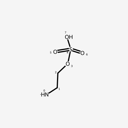 [NH]CCOS(=O)(=O)O